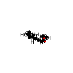 COC(=O)N[C@@H](C(=O)N1CCC[C@H]1c1ncc(-c2ccc(-c3ccc(-c4[nH]c([C@@H]5CCCN5C(=O)[C@@H](c5ccccc5)N(C)C(=O)O)nc4C(N)=O)cc3)cc2)[nH]1)c1ccccc1